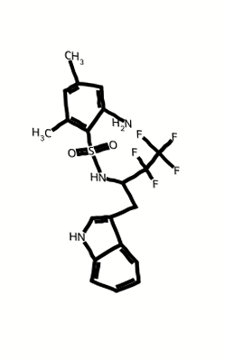 Cc1cc(C)c(S(=O)(=O)NC(Cc2c[nH]c3ccccc23)C(F)(F)C(F)(F)F)c(N)c1